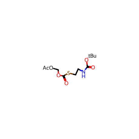 CC(=O)OCOC(=O)SCCNC(=O)OC(C)(C)C